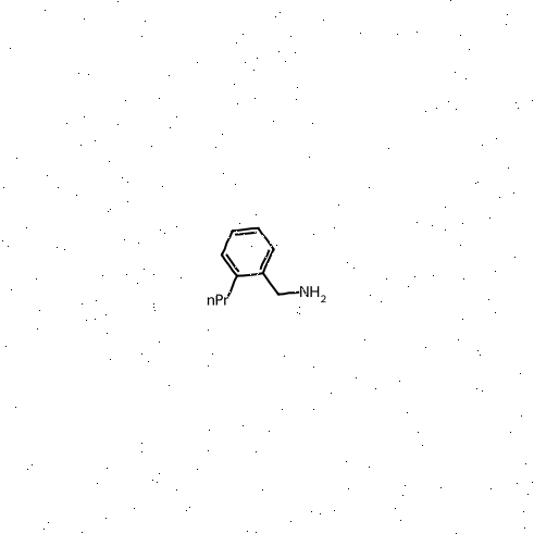 C[CH]Cc1ccccc1CN